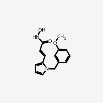 COc1cccc(Cn2cccc2C=CC(=O)NO)c1